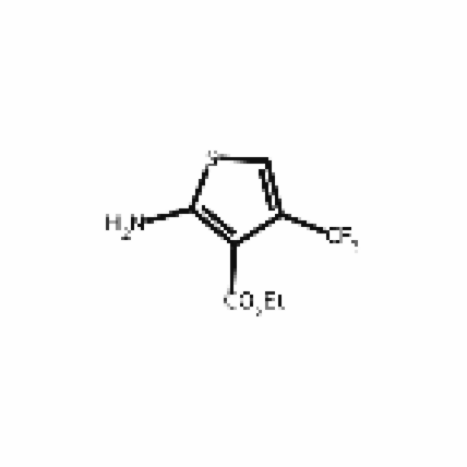 CCOC(=O)c1c(C(F)(F)F)csc1N